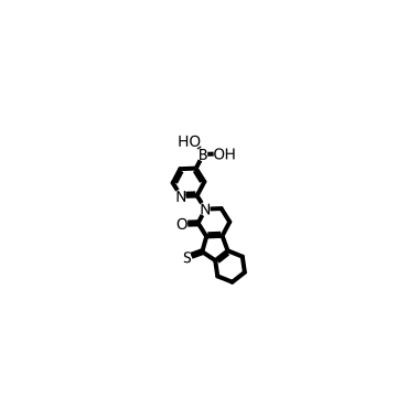 O=C1C2=C(CCN1c1cc(B(O)O)ccn1)C1=C(CCCC1)C2=S